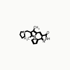 Cc1[nH]c(/C=C2/C(=O)NN=C2c2ccco2)c(C)c1CN1CCCC1